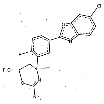 C[C@@]1(c2cc(-c3nc4ccc(Cl)cc4o3)ccc2F)C[C@@H](C(F)(F)F)OC(N)=N1